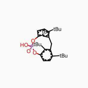 CC(C)(C)c1ccc2c(C(C)(C)C)c1Cc1c(C(C)(C)C)ccc(c1C(C)(C)C)OP(=O)(O)O2